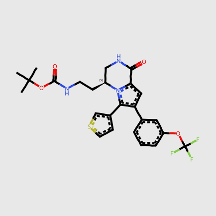 CC(C)(C)OC(=O)NCC[C@H]1CNC(=O)c2cc(-c3cccc(OC(F)(F)F)c3)c(-c3ccsc3)n21